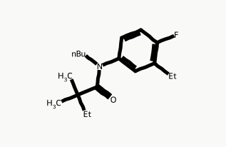 CCCCN(C(=O)C(C)(C)CC)c1ccc(F)c(CC)c1